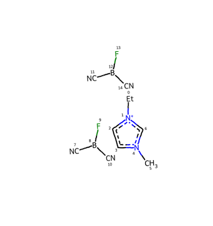 CC[n+]1ccn(C)c1.N#CB(F)C#N.N#CB(F)C#N